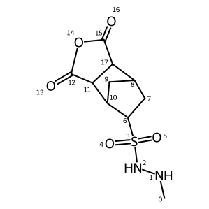 CNNS(=O)(=O)C1CC2CC1C1C(=O)OC(=O)C21